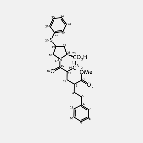 COC(=O)C(CCc1ccccc1)CC(C)C(=O)N1CC(Sc2ccccc2)C[C@H]1C(=O)O